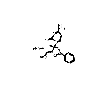 CO[C@H](CO)[C@H]1OB(c2ccccc2)OC1(C)n1ccc(N)nc1=O